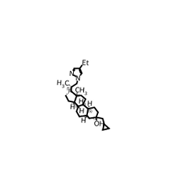 CCc1cnn(C[C@@H](C)[C@H]2CC[C@H]3[C@@H]4CC[C@@H]5C[C@@](O)(CC6CC6)CC[C@@H]5[C@H]4CC[C@]23C)c1